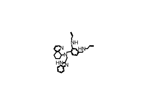 C=CCNCc1ccc(CN(Cc2nc3ccccc3[nH]2)C2CCCc3cccnc32)c(CNCC=C)c1